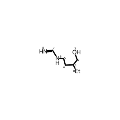 CCC(CO)CCNC=N